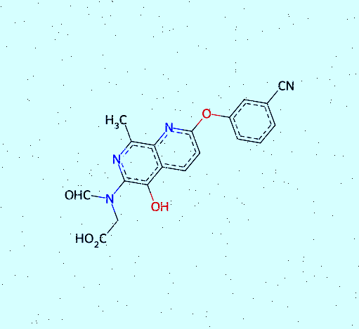 Cc1nc(N(C=O)CC(=O)O)c(O)c2ccc(Oc3cccc(C#N)c3)nc12